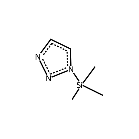 C[Si](C)(C)n1ccnn1